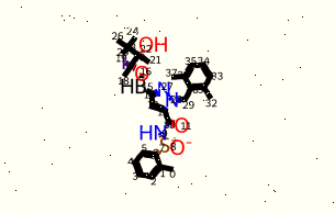 Cc1ccccc1[S+]([O-])NC(=O)c1cc(BOC(C)(I)C(C)(O)C(C)(C)C)nn1Cc1c(C)cccc1C